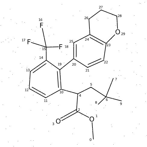 COC(=O)C(CC(C)(C)C)c1cccc(C(F)(F)F)c1-c1ccc2c(c1)CCCO2